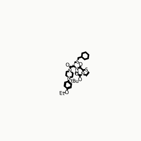 CCOc1ccc(N2CCN(C(=O)[C@H](CSCC3CCCCC3)NC(=O)C3SC[CH]N3C(=O)OC(C)(C)C)CC2)cc1